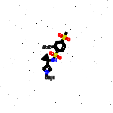 COc1cc(S(C)(=O)=O)ccc1S(=O)(=O)NC1(C2CN(C(=O)O)C2)CC1